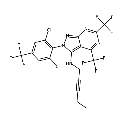 CCC#CCNc1c2c(C(F)(F)F)nc(C(F)(F)F)nc2nn1-c1c(Cl)cc(C(F)(F)F)cc1Cl